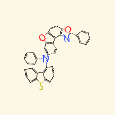 c1ccc(-c2nc3c(ccc4oc5cc(N(c6ccccc6)c6cccc7sc8ccccc8c67)ccc5c43)o2)cc1